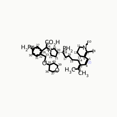 CC(C)=C(/C=C\C1=C(I)N(I)CCC1)CCCCC(P)[C@@H]1CCN(C(C(=O)O)c2cc(P)ccc2COC2CCOCC2)C1